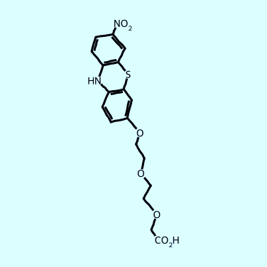 O=C(O)COCCOCCOc1ccc2c(c1)Sc1cc([N+](=O)[O-])ccc1N2